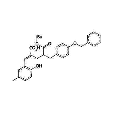 CCC(C)OC(=O)C(CC(=Cc1cc(C)ccc1O)C(=O)O)Cc1ccc(OCc2ccccc2)cc1